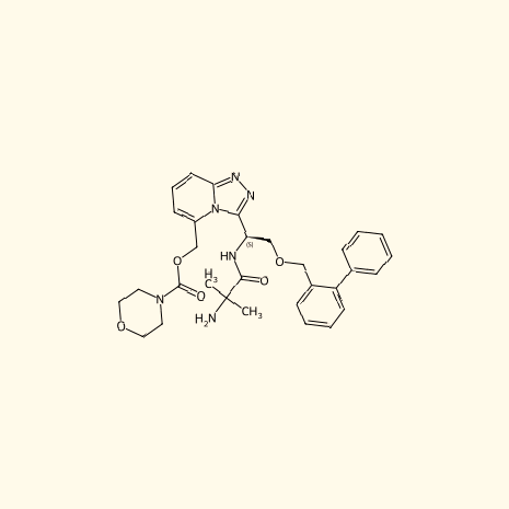 CC(C)(N)C(=O)N[C@H](COCc1ccccc1-c1ccccc1)c1nnc2cccc(COC(=O)N3CCOCC3)n12